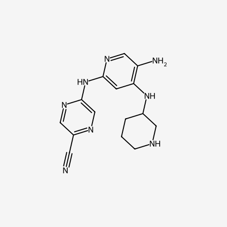 N#Cc1cnc(Nc2cc(NC3CCCNC3)c(N)cn2)cn1